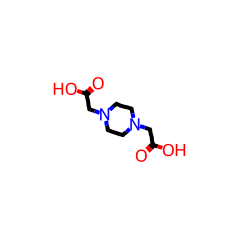 O=C(O)CN1CCN(CC(=O)O)CC1